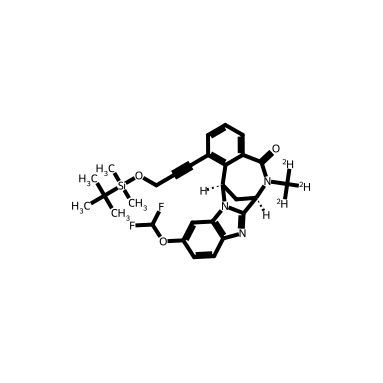 [2H]C([2H])([2H])N1C(=O)c2cccc(C#CCO[Si](C)(C)C(C)(C)C)c2[C@H]2C[C@@H]1c1nc3ccc(OC(F)F)cc3n12